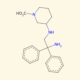 NC(CNC1CCCN(C(=O)O)C1)(c1ccccc1)c1ccccc1